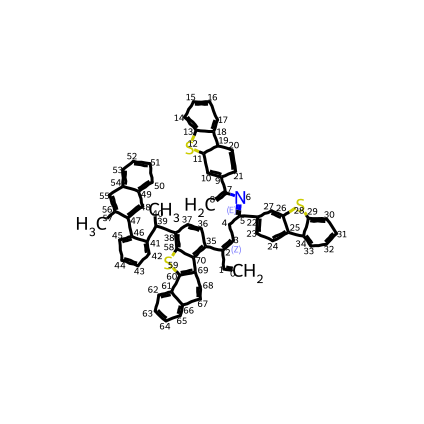 C=C/C(=C/C/C(=N\C(=C)C1=CC2Sc3ccccc3C2C=C1)c1ccc2c(c1)sc1ccccc12)c1ccc(C(C)c2ccccc2-c2cc3ccccc3cc2C)c2sc3c4ccccc4ccc3c12